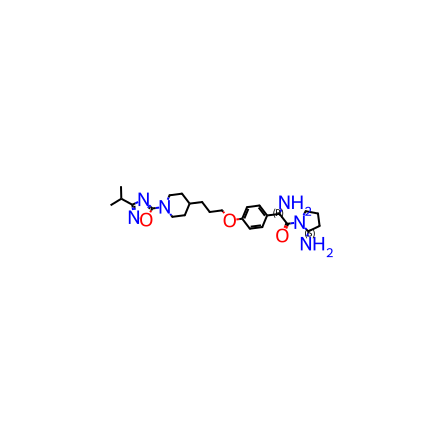 CC(C)c1noc(N2CCC(CCCOc3ccc([C@@H](N)C(=O)N4CCC[C@H]4N)cc3)CC2)n1